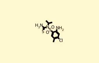 Cc1cc(S(=O)(=O)N(C(N)=S)C(C)C)c(N)cc1Cl